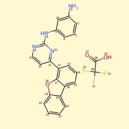 Nc1cccc(Nc2nccc(-c3cccc4c3oc3ccccc34)n2)c1.O=C(O)C(F)(F)F